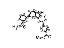 COC(=O)c1cnc(N2CCc3[nH]c4ccc(-c5cccc([S+](C)[O-])c5)cc4c3C2)nc1